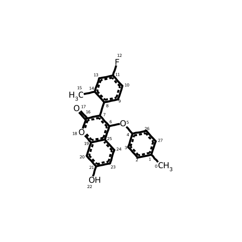 Cc1ccc(Oc2c(-c3ccc(F)cc3C)c(=O)oc3cc(O)ccc23)cc1